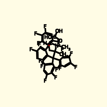 CC(Cc1c(F)cc(F)c(F)c1F)(C(c1c(F)cc(F)c(F)c1F)(c1c(F)cc(F)c(F)c1F)c1c(F)cc(F)c(F)c1F)[N+](C)(C)OB(O)O